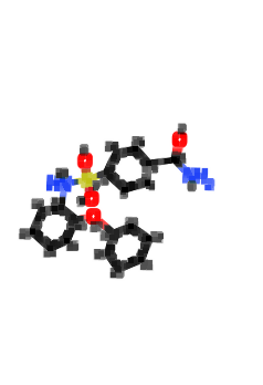 NC(=O)c1ccc(S(=O)(=O)Nc2ccccc2Oc2ccccc2)cc1